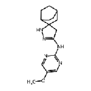 COc1cnc(NC2=NNC3(C2)CC2CCC3CC2)nc1